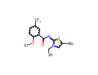 CCOc1ccc(C(F)(F)F)cc1C(=O)N=c1sc(C(C)(C)C)cn1CC(C)C